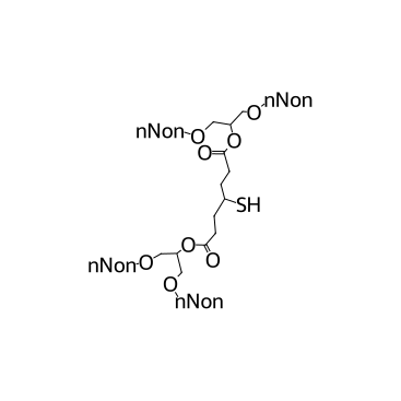 CCCCCCCCCOCC(COCCCCCCCCC)OC(=O)CCC(S)CCC(=O)OC(COCCCCCCCCC)COCCCCCCCCC